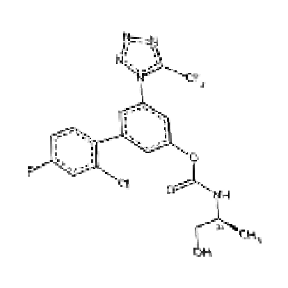 C[C@@H](CO)NC(=O)Oc1cc(-c2ccc(F)cc2Cl)cc(-n2nnnc2C(F)(F)F)c1